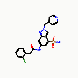 NS(=O)(=O)c1cc(NC(=O)Cc2ccccc2Cl)cc2nn(Cc3ccncc3)cc12